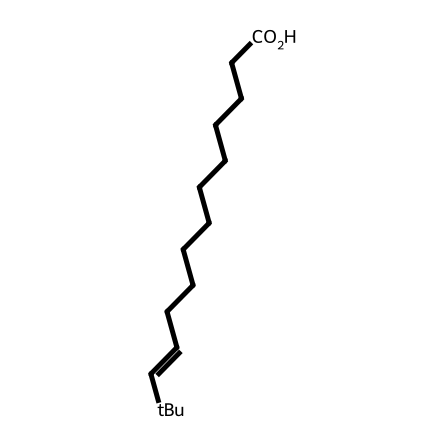 CC(C)(C)C=CCCCCCCCCCC(=O)O